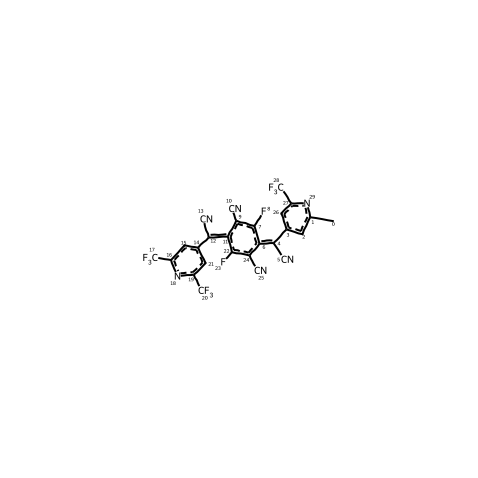 Cc1cc(/C(C#N)=c2\c(F)c(C#N)/c(=C(\C#N)c3cc(C(F)(F)F)nc(C(F)(F)F)c3)c(F)c2C#N)cc(C(F)(F)F)n1